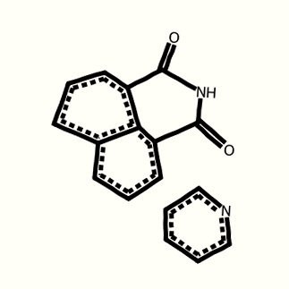 O=C1NC(=O)c2cccc3cccc1c23.c1ccncc1